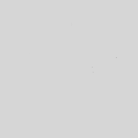 C=C(C)C(=O)O.CCCOC(C(O)CO)[SiH](O[Si](C)(C)C)O[Si](C)(C)C